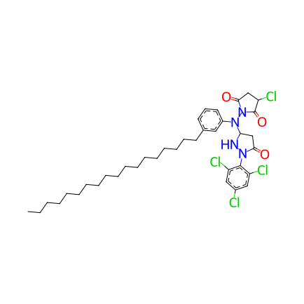 CCCCCCCCCCCCCCCCCCc1cccc(N(C2CC(=O)N(c3c(Cl)cc(Cl)cc3Cl)N2)N2C(=O)CC(Cl)C2=O)c1